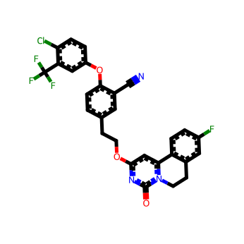 N#Cc1cc(CCOc2cc3n(c(=O)n2)CCc2cc(F)ccc2-3)ccc1Oc1ccc(Cl)c(C(F)(F)F)c1